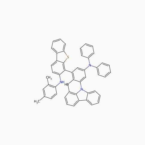 Cc1ccc(Nc2ccc3c(sc4ccccc43)c2-c2cc(N(c3ccccc3)c3ccccc3)cc3c2Bc2cccc4c5ccccc5n-3c24)c(C)c1